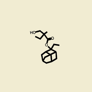 CCC(C)(CO)C(=O)OC1(CC)C2CC3CC(C2)CC1C3